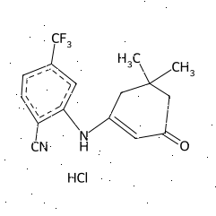 CC1(C)CC(=O)C=C(Nc2cc(C(F)(F)F)ccc2C#N)C1.Cl